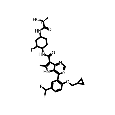 Cc1[nH]c2c(-c3cc(C(F)F)ccc3OCC3CC3)ncnc2c1C(=O)NC1CCC(NC(=O)[C@H](C)O)CC1F